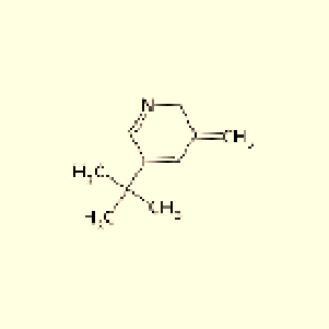 C=C1C=C(C(C)(C)C)C=NC1